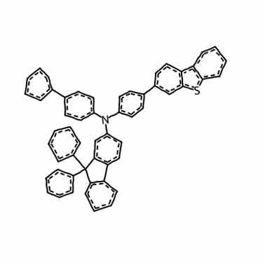 c1ccc(-c2ccc(N(c3ccc(-c4ccc5c(c4)sc4ccccc45)cc3)c3ccc4c(c3)C(c3ccccc3)(c3ccccc3)c3ccccc3-4)cc2)cc1